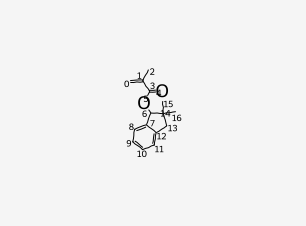 C=C(C)C(=O)OC1c2ccccc2CC1(C)C